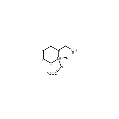 C[N+]1(CC(=O)[O-])CCCCC1CO